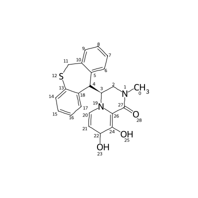 CN1C[C@H](C2c3ccccc3CSc3ccccc32)N2C=CC(O)C(O)=C2C1=O